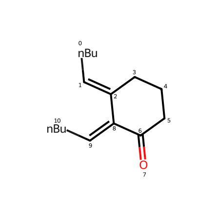 CCCCC=C1CCCC(=O)C1=CCCCC